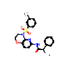 Cc1cccc(S(=O)(=O)N2CCOc3ccc(NC(=O)C(C)c4ccccc4)nc32)c1